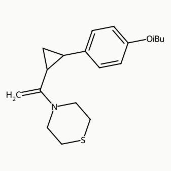 C=C(C1CC1c1ccc(OCC(C)C)cc1)N1CCSCC1